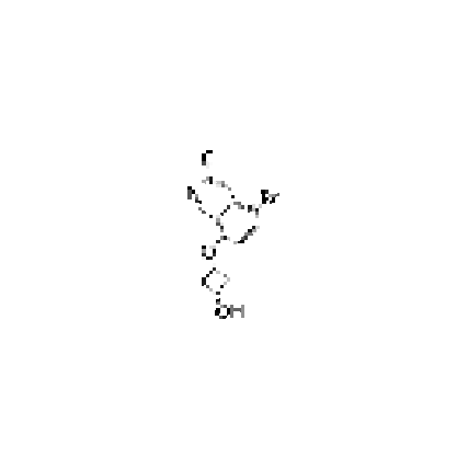 O[C@H]1C[C@H](Oc2ccc(Br)c3cc(Cl)ncc23)C1